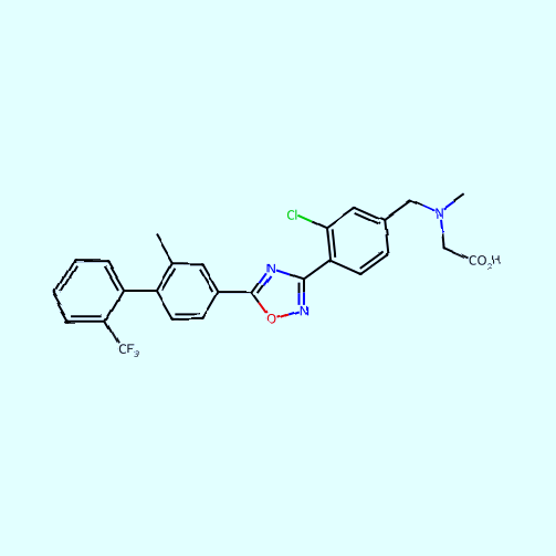 Cc1cc(-c2nc(-c3ccc(CN(C)CC(=O)O)cc3Cl)no2)ccc1-c1ccccc1C(F)(F)F